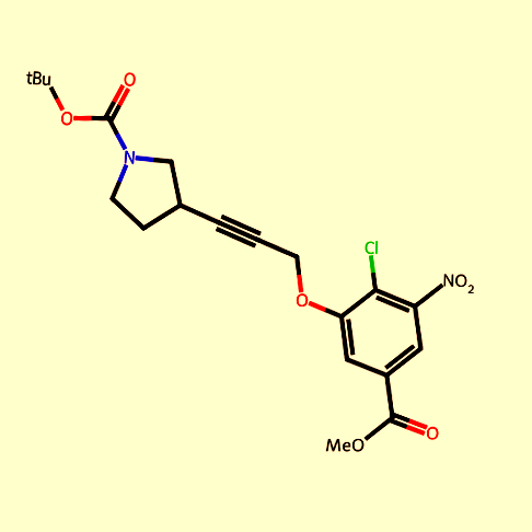 COC(=O)c1cc(OCC#CC2CCN(C(=O)OC(C)(C)C)C2)c(Cl)c([N+](=O)[O-])c1